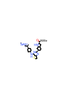 C=NN/C=C(\C)c1ccc(Nc2nc(-c3ccc4cc(C(=O)NC)[nH]c4c3)nc3ccsc23)cc1